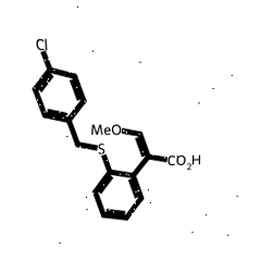 CO/C=C(/C(=O)O)c1ccccc1SCc1ccc(Cl)cc1